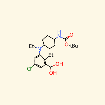 CCc1c(C(O)O)cc(Cl)cc1N(CC)C1CCC(NC(=O)OC(C)(C)C)CC1